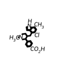 Cc1cc(Cl)c(CC2CCN(C)CC2c2ccc(C(=O)O)cc2)c2cc[nH]c12